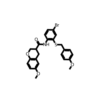 COc1ccc(CSc2cc(Br)ccc2NC(=O)C2COc3ccc(OC)cc3C2)cc1